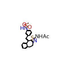 CC(=O)Nc1nc2c(s1)/C(=C\c1cccc(NS(C)(=O)=O)c1)c1ccccc1CC2